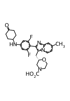 Cc1ccn2c(C[C@H]3CN(C(=O)O)CCO3)c(-c3c(F)cc(NC4CCC(=O)CC4)cc3F)nc2c1